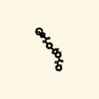 O=C(Nc1ccccn1)c1cnc2[nH]c(-c3ccc(NC(=O)C45CC6CCCC(C4)C(C6)C5)cc3)nc2c1